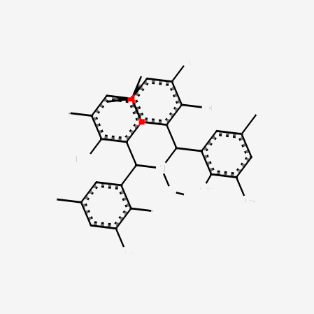 Cc1cc([CH](c2cc(C)cc(C(C)(C)C)c2O)[Al]([O]C(C)(C)C)[CH](c2cc(C)cc(C(C)(C)C)c2O)c2cc(C)cc(C(C)(C)C)c2O)c(O)c(C(C)(C)C)c1